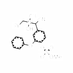 CC(C)C[N+](C)(C)C(C#N)c1cccc(Oc2ccccc2)c1.COS(=O)(=O)[O-]